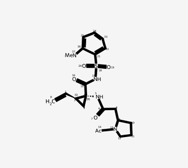 C=C[C@@H]1C[C@]1(NC(=O)CC1CCCN1C(C)=O)C(=O)NS(=O)(=O)c1ccccc1NC